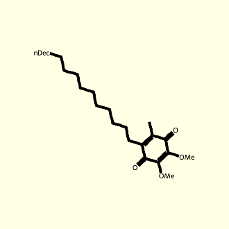 [CH2]CCCCCCCCCCCCCCCCCCCC1=C(C)C(=O)C(OC)=C(OC)C1=O